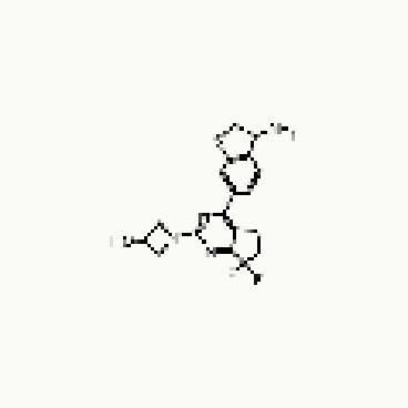 NC1CSc2cc(-c3nc(N4CC(O)C4)nc4c3CCC4(F)F)ccc21